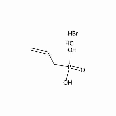 Br.C=CCP(=O)(O)O.Cl